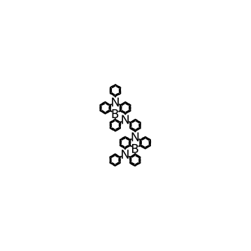 c1ccc(N2c3ccccc3B3c4ccccc4N(c4cccc(N5c6ccccc6B6c7ccccc7N(c7ccccc7)c7cccc5c76)c4)c4cccc2c43)cc1